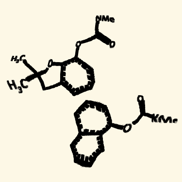 CNC(=O)Oc1cccc2c1OC(C)(C)C2.CNC(=O)Oc1cccc2ccccc12